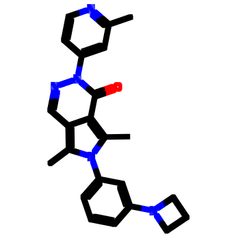 Cc1cc(-n2ncc3c(C)n(-c4cccc(N5CCC5)c4)c(C)c3c2=O)ccn1